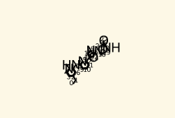 CCc1ccnc(Nc2cccc(-c3cnc(N4CCNC(=O)C4)o3)n2)c1